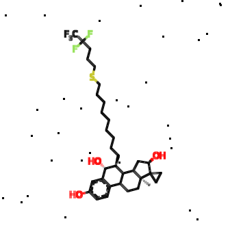 C[C@]12CCC3c4ccc(O)cc4[C@H](O)[C@@H](CCCCCCCCCSCCCC(F)(F)C(F)(F)F)C3C1C[C@@H](O)C21CC1